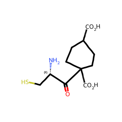 N[C@@H](CS)C(=O)C1(C(=O)O)CCC(C(=O)O)CC1